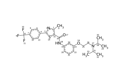 Cc1nc(-c2ccc(C(F)(F)F)cc2)sc1C(=O)Nc1cccc(OCCN(C(C)C)C(C)C)c1